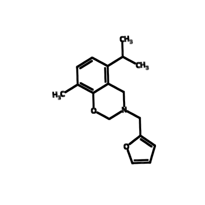 Cc1ccc(C(C)C)c2c1OCN(Cc1ccco1)C2